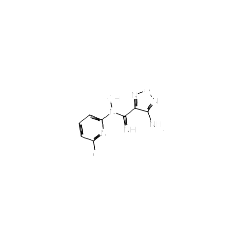 N=C(c1nonc1N)N(O)c1cccc(Cl)n1